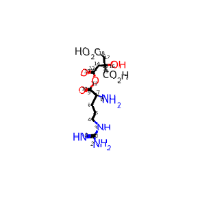 N=C(N)NCCC[C@H](N)C(=O)OC(=O)CC(O)(CC(=O)O)C(=O)O